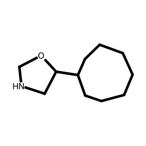 C1CCCC(C2CNCO2)CCC1